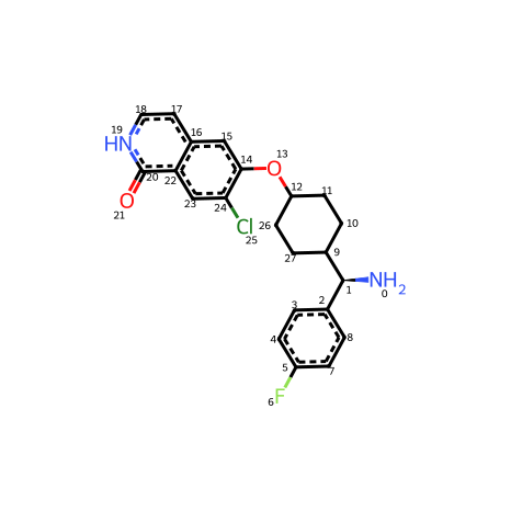 N[C@@H](c1ccc(F)cc1)C1CCC(Oc2cc3cc[nH]c(=O)c3cc2Cl)CC1